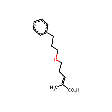 C/C(=C\CCOCCCc1ccccc1)C(=O)O